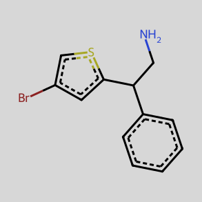 NCC(c1ccccc1)c1cc(Br)cs1